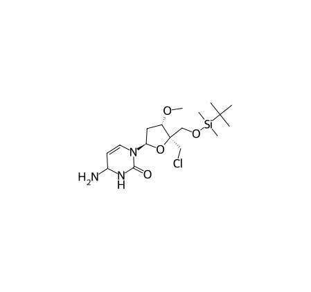 CO[C@H]1C[C@H](N2C=CC(N)NC2=O)O[C@]1(CCl)CO[Si](C)(C)C(C)(C)C